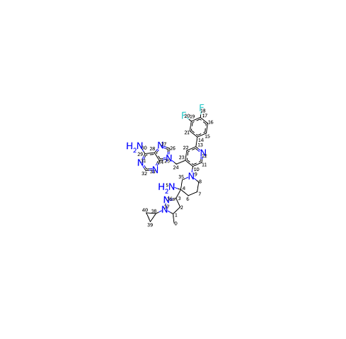 CC1CC(C2(N)CCCN(c3cnc(-c4ccc(F)c(F)c4)cc3Cn3cnc4c(N)ncnc43)C2)=NN1C1CC1